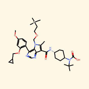 COc1ccc(-c2ncnc3c(C(=O)N[C@H]4CC[C@H](N(C(=O)O)C(C)(C)C)CC4)c(C)n(COCC[Si](C)(C)C)c23)c(OCC2CC2)c1